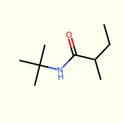 CCC(C)C(=O)NC(C)(C)C